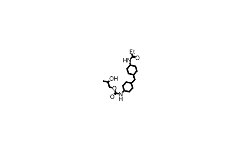 CCC(=O)NC1CCC(CC2CCC(NC(=O)OCC(C)O)CC2)CC1